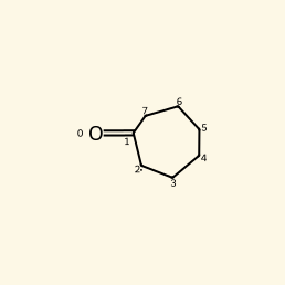 O=C1[CH]CCCCC1